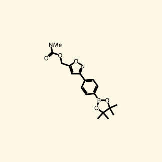 CNC(=O)OCc1cc(-c2ccc(B3OC(C)(C)C(C)(C)O3)cc2)no1